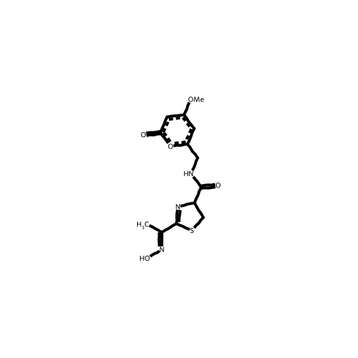 COc1cc(CNC(=O)C2CSC(/C(C)=N/O)=N2)oc(=O)c1